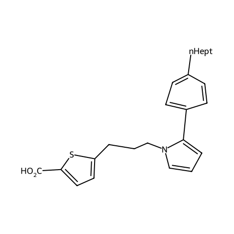 CCCCCCCc1ccc(-c2cccn2CCCc2ccc(C(=O)O)s2)cc1